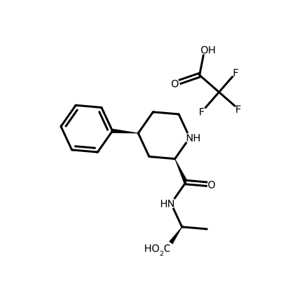 C[C@H](NC(=O)[C@H]1C[C@@H](c2ccccc2)CCN1)C(=O)O.O=C(O)C(F)(F)F